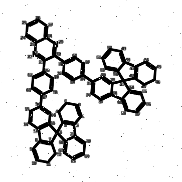 C1=CC2=C(CC1)C1(C3=C(C=CCC3)c3ccc(-c4ccc(-c5nc6ccccc6nc5-c5ccc(-c6ccc7c(c6)C6(C8=C(C=CCC8)c8ccccc86)c6ccccc6-7)cc5)cc4)cc31)c1ccccc12